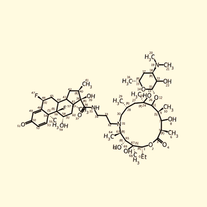 CC[C@H]1OC(=O)[C@H](C)C(O)[C@H](C)C(O[C@@H]2O[C@H](C)C[C@@H](N(C)C)C2O)[C@](C)(O)C[C@@H](C)CN(CCCNC(=O)[C@@]2(O)[C@H](C)CC3C4C[C@H](F)C5=CC(=O)C=C[C@]5(C)[C@@]4(F)[C@@H](O)C[C@@]32C)[C@H](C)[C@@H](O)[C@]1(C)O